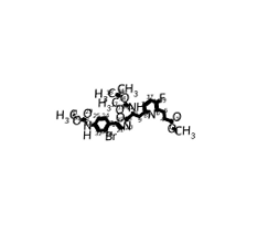 COC(=O)CCc1nc(CC(NC(=O)OC(C)(C)C)c2ncc(-c3ccc(NC(=O)OC)cc3Br)o2)ccc1F